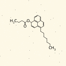 CCCCCCCc1ccc2cccc3c2c1C=CC3OC(=O)CCC